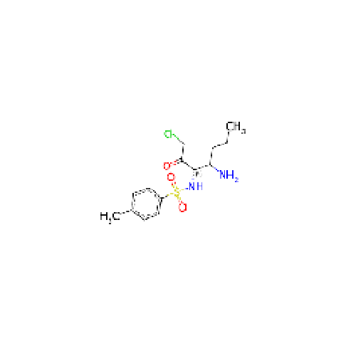 CCCC(N)[C@H](NS(=O)(=O)c1ccc(C)cc1)C(=O)CCl